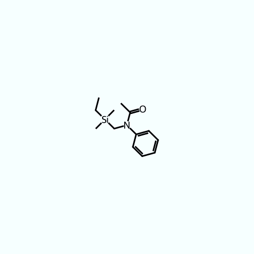 CC[Si](C)(C)CN(C(C)=O)c1ccccc1